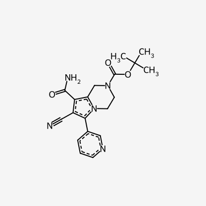 CC(C)(C)OC(=O)N1CCn2c(c(C(N)=O)c(C#N)c2-c2cccnc2)C1